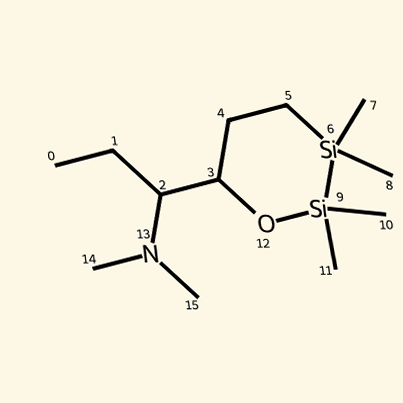 CCC(C1CC[Si](C)(C)[Si](C)(C)O1)N(C)C